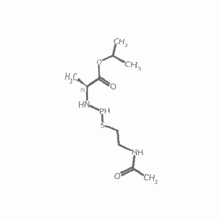 CC(=O)NCCSPN[C@@H](C)C(=O)OC(C)C